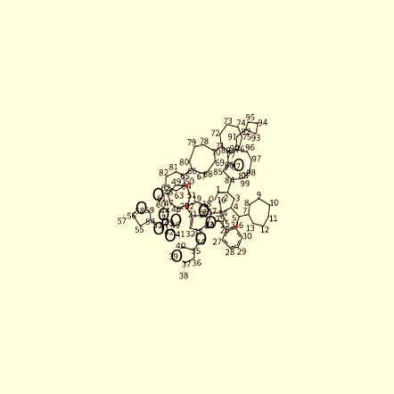 CCC(CC(C(C)C1CCCCCC1)C(C)(C)C1CCC/C(C(=O)OCc2ccccc2)=C/C(OC2C[C@H](C)O[C@@H]2COP(=O)(OC2CCCCCC2)OC2C[C@H](C)O[C@@H]2COC2CCC(C3CCCC(C4CCCCCC4)CCC3)CC2)C1)C1/C=C(\OC)CC(CC2CCC2)CCCC1